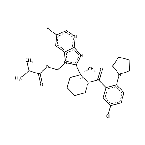 CC(C)C(=O)OCn1c([C@]2(C)CCCCN2C(=O)c2cc(O)ccc2N2CCCC2)nc2ncc(F)cc21